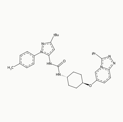 Cc1ccc(-n2nc(C(C)(C)C)cc2NC(=O)N[C@H]2CC[C@H](Oc3ccc4nnc(C(C)C)n4c3)CC2)cc1